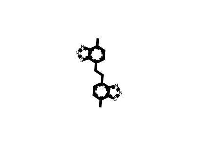 Cc1ccc(CCc2ccc(C)c3snnc23)c2snnc12